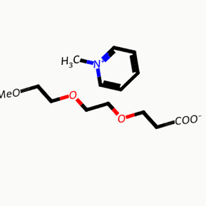 COCCOCCOCCC(=O)[O-].C[n+]1ccccc1